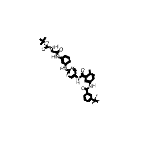 Cc1ccc(NC(=O)c2cccc(C(F)(F)F)c2)cc1C(=O)Nc1cnc(Nc2cccc(NC(=O)CNC(=O)OC(C)(C)C)c2)nc1